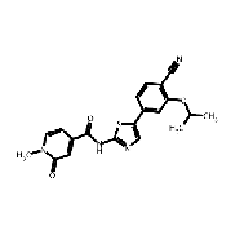 CC(C)Oc1cc(-c2cnc(NC(=O)c3ccn(C)c(=O)c3)s2)ccc1C#N